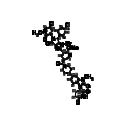 COc1ncc(C(=O)N2CCC(c3ccc4c(c3)n(C)c(=O)n4C3CCC(=O)NC3=O)CC2)cc1-c1nc2c(n1C(C)C)[C@H](c1ccc(Cl)cc1)N(c1cc(Cl)cn(C)c1=O)C2=O